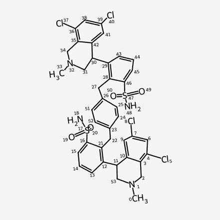 CN1Cc2c(Cl)cc(Cl)cc2C(c2cccc(S(N)(=O)=O)c2Cc2ccc(Cc3c(C4CN(C)Cc5c(Cl)cc(Cl)cc54)cccc3S(N)(=O)=O)cc2)C1